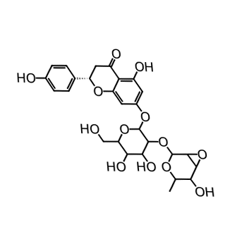 CC1OC(OC2C(Oc3cc(O)c4c(c3)O[C@H](c3ccc(O)cc3)CC4=O)OC(CO)C(O)C2O)C2OC2C1O